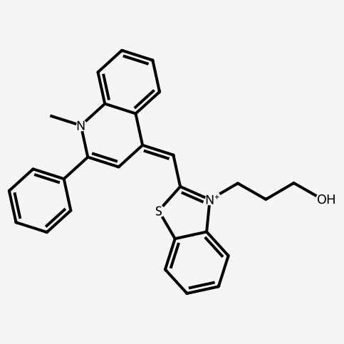 CN1C(c2ccccc2)=C/C(=C\c2sc3ccccc3[n+]2CCCO)c2ccccc21